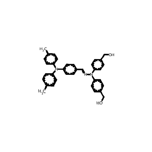 Cc1ccc(N(c2ccc(C)cc2)c2ccc(C=NN(c3ccc(CO)cc3)c3ccc(CO)cc3)cc2)cc1